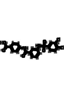 O=C(O)c1ccc(NC(=O)c2cccc(NS(=O)(=O)c3ccc(Cl)c(Cl)c3)c2)cc1